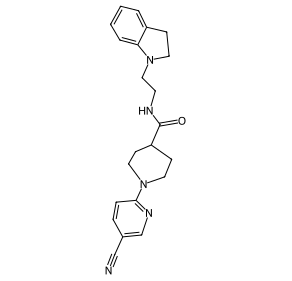 N#Cc1ccc(N2CCC(C(=O)NCCN3CCc4ccccc43)CC2)nc1